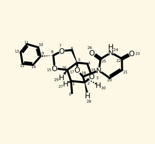 C[C@@H]1[C@H]2OC[C@]3(CO[C@@H](c4ccccc4)O[C@@H]13)O[C@H]2n1ccc(=O)[nH]c1=O